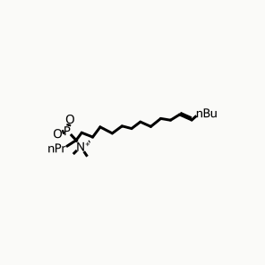 CCCCC=CCCCCCCCCCCC(CCC)(P(=O)=O)[N+](C)(C)C